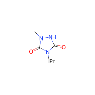 CC(C)n1c(=O)[nH]n(C)c1=O